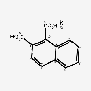 O=C(O)c1ccc2ccccc2c1C(=O)O.[K]